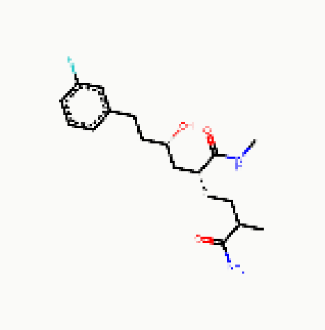 CNC(=O)[C@H](CCC(C)C(N)=O)C[C@@H](O)[CH]Cc1cccc(F)c1